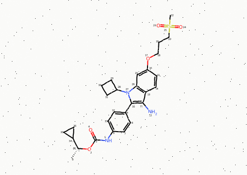 C[C@@H](OC(=O)Nc1ccc(-c2c(N)c3ccc(OCCCS(C)(=O)=O)cc3n2C2CCC2)cc1)C1CC1